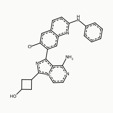 Nc1nccn2c(C3CC(O)C3)nc(-c3cc4nc(Nc5ccccc5)ccc4cc3Cl)c12